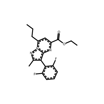 CCCc1cc(C(=O)OCC)nc2c(-c3c(F)cccc3F)c(C)nn12